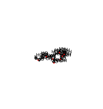 CCC(c1ccccc1)C1NC(=O)CNC(=O)C(CO)NC(=O)C(C(O)C2CNC(=N)N2C2OC(CO)C(O)C(O)C2O)NC(=O)C(C(O)C2CNC(=N)N2)NC(=O)C(Cc2ccc(OC3OC(CO)C(OC4OC5COC(c6cccc(-c7cccnc7)c6)OC5C(O)C4O)C(O)C3O)cc2)NC1=O